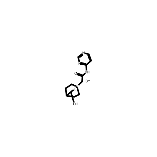 O=C(C[N+]12CCC(CC1)C(O)C2)Nc1ccncn1.[Br-]